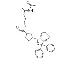 CC(=O)NC(C)CCCC[C@@H](C=O)C1CCC(COC(c2ccccc2)(c2ccccc2)c2ccccc2)C1